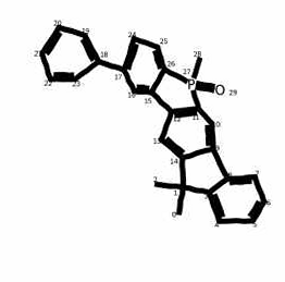 CC1(C)c2ccccc2-c2cc3c(cc21)-c1cc(-c2ccccc2)ccc1P3(C)=O